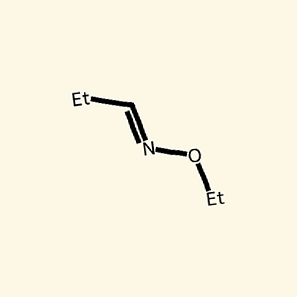 [CH2]CC=NOCC